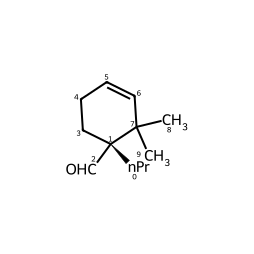 CCC[C@@]1(C=O)CCC=CC1(C)C